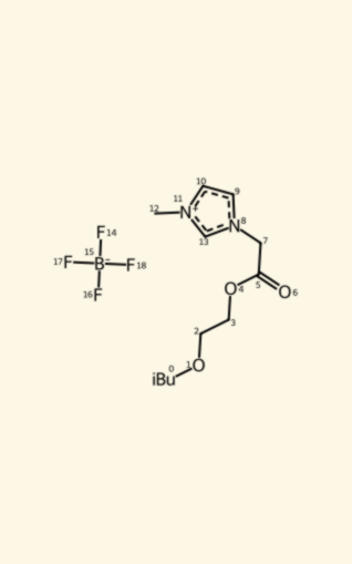 CCC(C)OCCOC(=O)Cn1cc[n+](C)c1.F[B-](F)(F)F